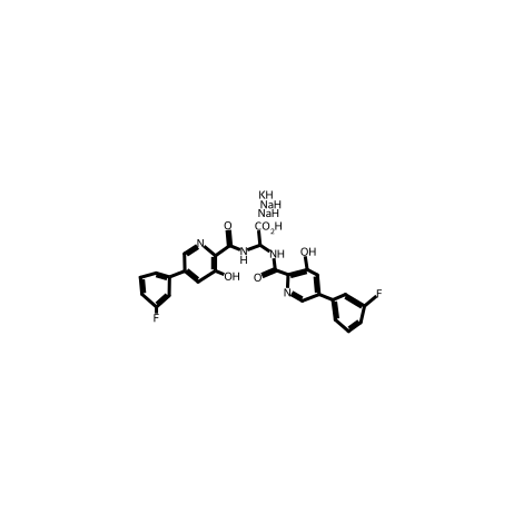 O=C(NC(NC(=O)c1ncc(-c2cccc(F)c2)cc1O)C(=O)O)c1ncc(-c2cccc(F)c2)cc1O.[KH].[NaH].[NaH]